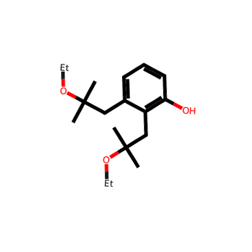 CCOC(C)(C)Cc1cccc(O)c1CC(C)(C)OCC